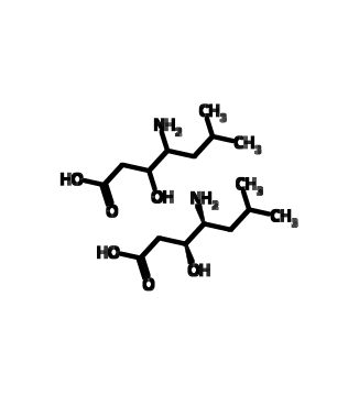 CC(C)CC(N)C(O)CC(=O)O.CC(C)C[C@H](N)[C@@H](O)CC(=O)O